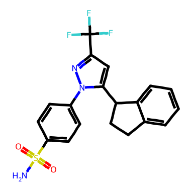 NS(=O)(=O)c1ccc(-n2nc(C(F)(F)F)cc2C2CCc3ccccc32)cc1